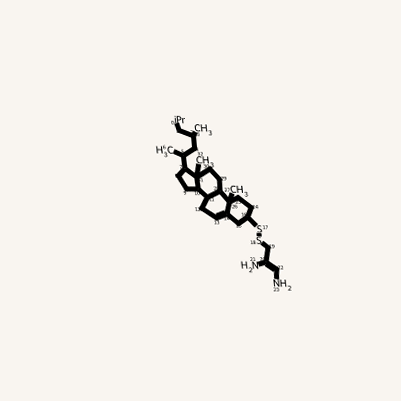 CC(C)CC(C)CC(C)C1CCC2C3CC=C4CC(SSC/C(N)=C/N)CCC4(C)C3CCC12C